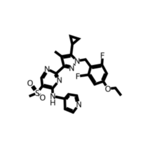 CCOc1cc(F)c(Cn2nc(-c3ncc(S(C)(=O)=O)c(Nc4ccncc4)n3)c(C)c2C2CC2)c(F)c1